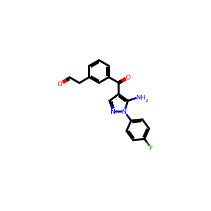 Nc1c(C(=O)c2cccc(CC=O)c2)cnn1-c1ccc(F)cc1